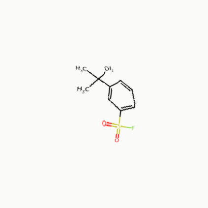 CC(C)(C)c1cccc(S(=O)(=O)F)c1